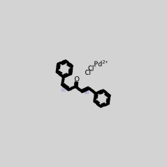 O=C(/C=C\c1ccccc1)/C=C/c1ccccc1.[Cl-].[Cl-].[Pd+2]